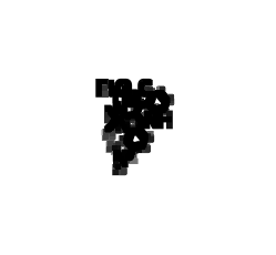 CCOC(=O)c1cccc2c1C(=O)C(c1nc(C)n[nH]1)C(c1ccc(CN(C)C)cc1)N2